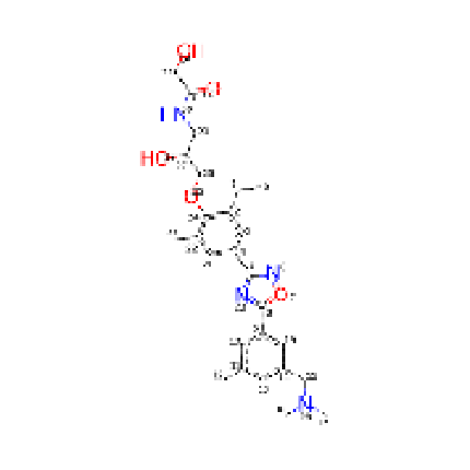 CCc1cc(-c2noc(-c3cc(C)cc(CN(C)C)c3)n2)cc(C)c1OCC(O)CNC(=O)CO